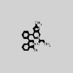 C=CC(=O)N1Cc2sc(C)cc2C(c2ccccc2-c2cnc(CC)c3ccccc23)C1